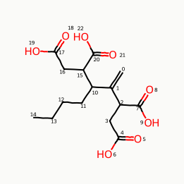 C=C(C(CC(=O)O)C(=O)O)C(CCCC)C(CC(=O)O)C(=O)O